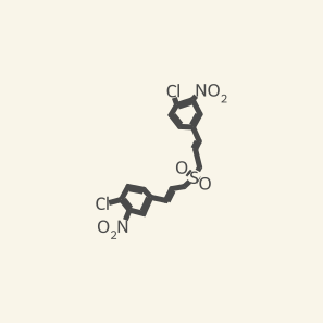 O=[N+]([O-])c1cc(C=CCS(=O)(=O)CC=Cc2ccc(Cl)c([N+](=O)[O-])c2)ccc1Cl